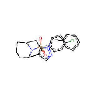 O=S(=O)(c1ccc(Cl)cc1)N1C2CCCC1c1cnn(Cc3ccccc3)c1C2